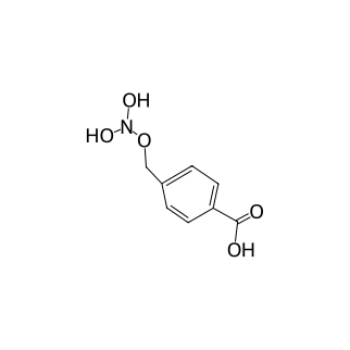 O=C(O)c1ccc(CON(O)O)cc1